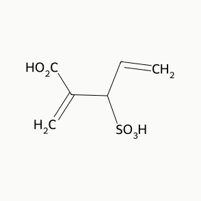 C=CC(C(=C)C(=O)O)S(=O)(=O)O